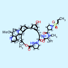 C/C=C/S(=O)(=O)N1CC[C@H](C(=O)N(C)[C@H](C(=O)N[C@H]2Cc3cc(O)cc(c3)-c3ccc4c(c3)c(c(-c3cccnc3[C@H](C)OC)n4CC)CC(C)(C)COC(=O)[C@@H]3CCCN(N3)C2=O)C(C)C)C1